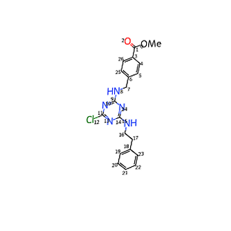 COC(=O)c1ccc(CNc2nc(Cl)nc(NCCc3ccccc3)n2)cc1